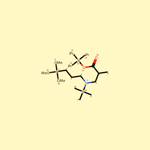 CO[Si](CCCN(CC(C)C(=O)O[Si](C(C)C)(C(C)C)C(C)C)[Si](C)(C)C)(OC)OC